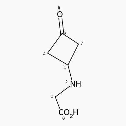 O=C(O)CNC1CC(=O)C1